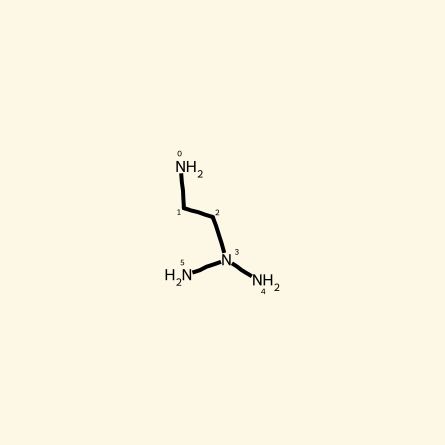 NCCN(N)N